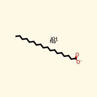 CCCCCCCCCCCCCCCCCC(=O)[O-].[KH].[Na+]